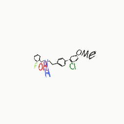 COc1ccc(Cl)c(-c2ccc(CCNCC(O)c3ccccc3F)cc2)c1